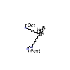 CCCCC/C=C\C/C=C\CCCCCCCCC1(CCCCCCCC/C=C\CCCCCCCC)O[C@H]2C[C@@H](N(C)C)C[C@H]2O1